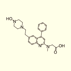 CN(CC(=O)O)c1cc(-c2ccccc2)c2cc(CCN3CCN(O)CC3)ccc2n1